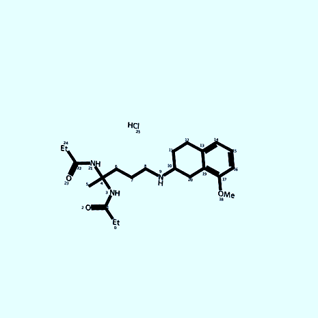 CCC(=O)NC(C)(CCCNC1CCc2cccc(OC)c2C1)NC(=O)CC.Cl